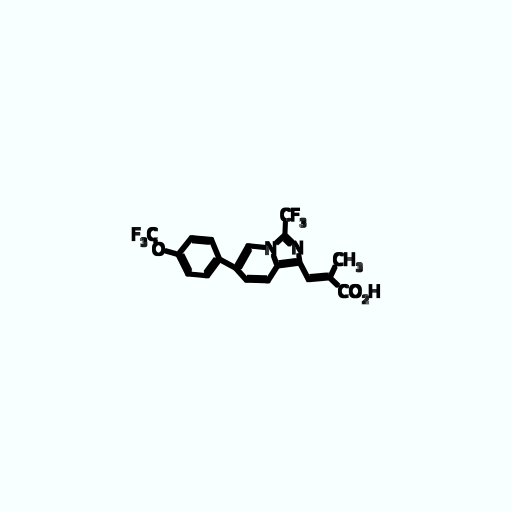 CC(=Cc1nc(C(F)(F)F)n2cc(-c3ccc(OC(F)(F)F)cc3)ccc12)C(=O)O